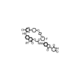 CNC(=O)COc1cc2cc(Nc3nc(N4CCC(O[C@H]5C[C@H](N6CC[C@@H](c7ccc8c(c7)CN(C7CCC(=O)NC7=O)C8=O)[C@@H](F)C6)C5)CC4)ncc3Cl)ccc2n(C(C)C)c1=O